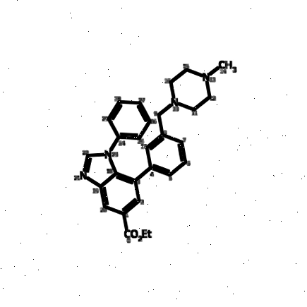 CCOC(=O)c1cc(-c2cccc(CN3CCN(C)CC3)c2)c2c(c1)ncn2-c1ccccc1